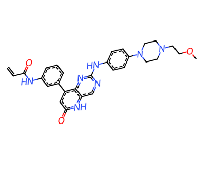 C=CC(=O)Nc1cccc(-c2cc(=O)[nH]c3cnc(Nc4ccc(N5CCN(CCOC)CC5)cc4)nc23)c1